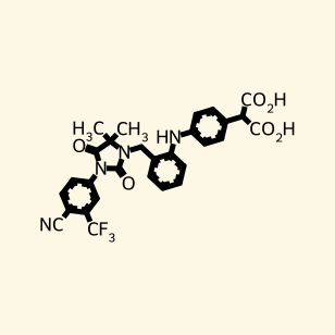 CC1(C)C(=O)N(c2ccc(C#N)c(C(F)(F)F)c2)C(=O)N1Cc1ccccc1Nc1ccc(C(C(=O)O)C(=O)O)cc1